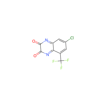 O=C1N=c2cc(Cl)cc(C(F)(F)F)c2=NC1=O